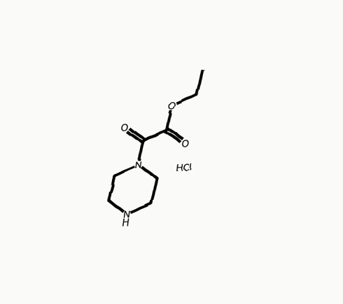 CCOC(=O)C(=O)N1CCNCC1.Cl